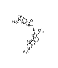 CN1CC[C@@H](Nc2cccc3c(CC(F)(F)F)c(C#CCNC(=O)c4ccc(N(C)C)nc4)nn23)[C@@H](F)C1